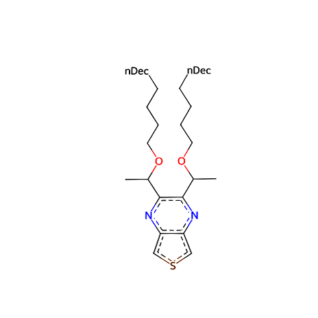 CCCCCCCCCCCCCCOC(C)c1nc2cscc2nc1C(C)OCCCCCCCCCCCCCC